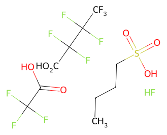 CCCCS(=O)(=O)O.F.O=C(O)C(F)(F)C(F)(F)C(F)(F)F.O=C(O)C(F)(F)F